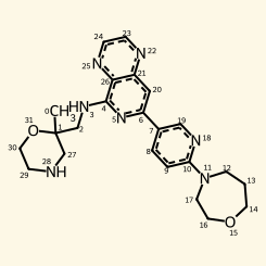 CC1(CNc2nc(-c3ccc(N4CCCOCC4)nc3)cc3nccnc23)CNCCO1